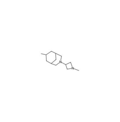 CC1CC2CC(C1)CN(C1CN(C)C1)C2